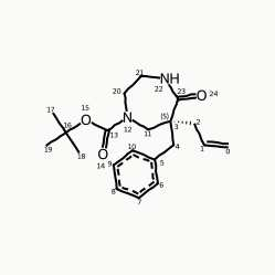 C=CC[C@]1(Cc2ccccc2)CN(C(=O)OC(C)(C)C)CCNC1=O